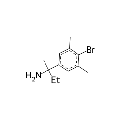 CCC(C)(N)c1cc(C)c(Br)c(C)c1